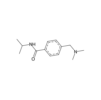 CC(C)NC(=O)c1ccc(CN(C)C)cc1